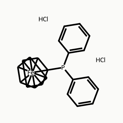 Cl.Cl.c1ccc(P(c2ccccc2)[C]23[CH]4[CH]5[CH]6[CH]2[Fe]56432789[CH]3[CH]2[CH]7[CH]8[CH]39)cc1